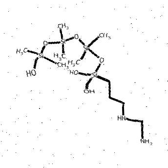 C[Si](C)(O)O[Si](C)(C)O[Si](C)(C)O[Si](O)(O)CCCNCN